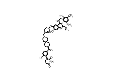 COc1cc2nc(C)nc(N[C@H](C)c3cc(N)cc(C(F)(F)F)c3)c2cc1OC1CCN(CC2CCC3(CC2)CCN(C(=O)c2ccc(Cl)c(N4CCC(=O)NC4=O)c2)CC3)CC1